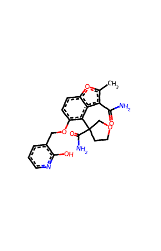 Cc1oc2ccc(OCc3cccnc3O)c(C3(C(N)=O)CCOC3)c2c1C(N)=O